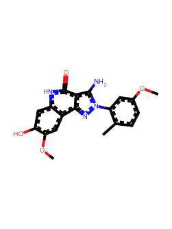 COc1ccc(C)c(-n2nc3c(c2N)c(=O)[nH]c2cc(O)c(OC)cc23)c1